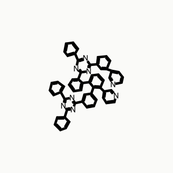 c1ccc(-c2nc(-c3ccccc3)nc(-c3cccc(-c4c(-c5cccnc5)cccc4-c4ccccc4-c4nc(-c5ccccc5)nc(-c5cccc(-c6cccnc6)c5)n4)c3)n2)cc1